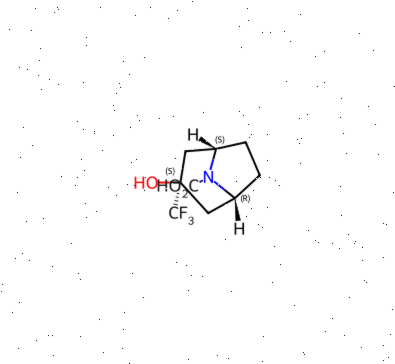 O=C(O)N1[C@@H]2CC[C@H]1C[C@@](O)(C(F)(F)F)C2